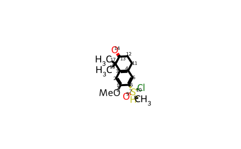 COc1cc2c(cc1[SH](C)(=O)Cl)CCC(=O)C2(C)C